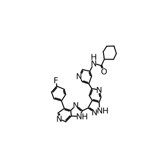 O=C(Nc1cncc(-c2cc3c(-c4nc5c(-c6ccc(F)cc6)cncc5[nH]4)n[nH]c3cn2)c1)C1CCCCC1